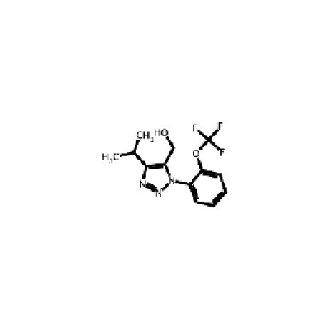 CC(C)c1nnn(-c2ccccc2OC(F)(F)F)c1CO